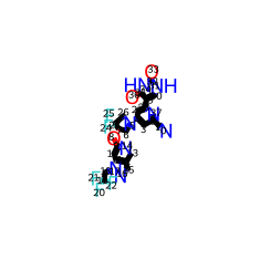 N#Cc1cc(N2CC(Oc3cc4c(cn3)cnn4CC(F)(F)F)C(F)(F)C2)cc(-c2c[nH]c(=O)[nH]c2=O)n1